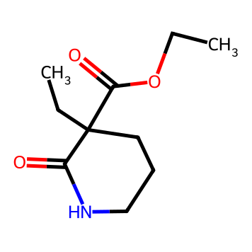 CCOC(=O)C1(CC)CCCNC1=O